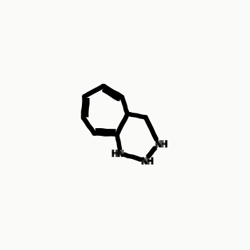 C1=CC=C2NNNCC2C=C1